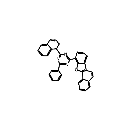 C1=Cc2ccccc2C(c2nc(-c3ccccc3)nc(-c3cccc4c3oc3c5ccccc5ccc43)n2)C1